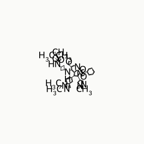 CC(C)n1ncc2cc(-c3c(-c4cnn(C)c4)n(S(=O)(=O)c4ccccc4)c4ncc(C=O)c(NC5CC(NC(=O)OC(C)(C)C)C5)c34)ccc21